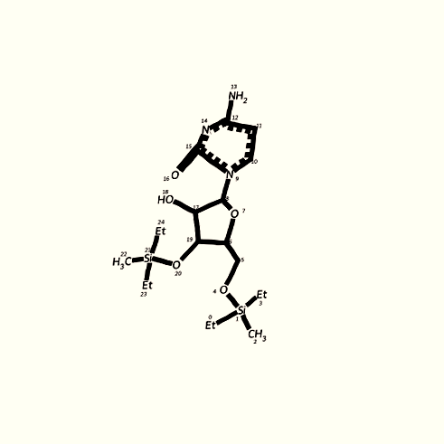 CC[Si](C)(CC)OCC1OC(n2ccc(N)nc2=O)C(O)C1O[Si](C)(CC)CC